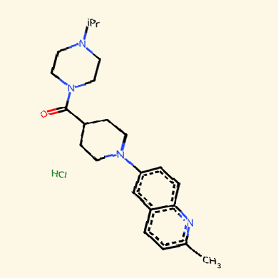 Cc1ccc2cc(N3CCC(C(=O)N4CCN(C(C)C)CC4)CC3)ccc2n1.Cl